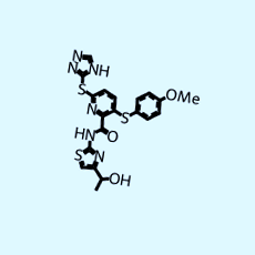 COc1ccc(Sc2ccc(Sc3nnc[nH]3)nc2C(=O)Nc2nc(C(C)O)cs2)cc1